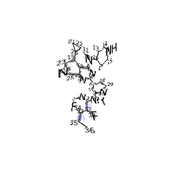 C=N/C(Nc1cc(-c2nc(N(C)C3CCNCC3)c3c(C4CC4)cncc3n2)ccn1)=C(F)\C(F)=C/C